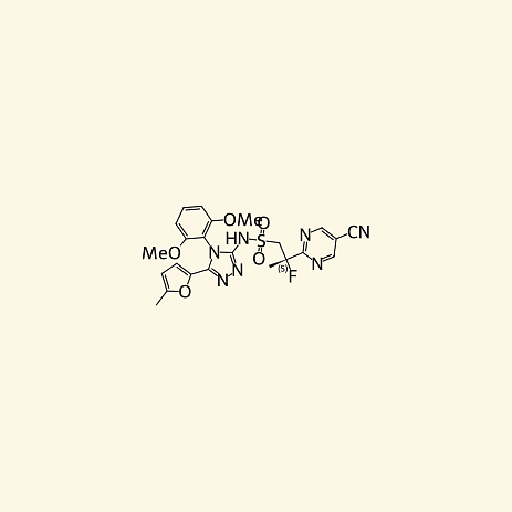 COc1cccc(OC)c1-n1c(NS(=O)(=O)C[C@@](C)(F)c2ncc(C#N)cn2)nnc1-c1ccc(C)o1